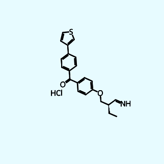 CC[C@H](C=N)COc1ccc(C(=O)c2ccc(-c3ccsc3)cc2)cc1.Cl